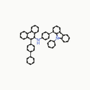 c1ccc(-c2ccc(-c3c(Nc4ccc(-c5cccc6c7ccccc7n(-c7ccccc7)c56)cc4)c4ccccc4c4ccccc34)cc2)cc1